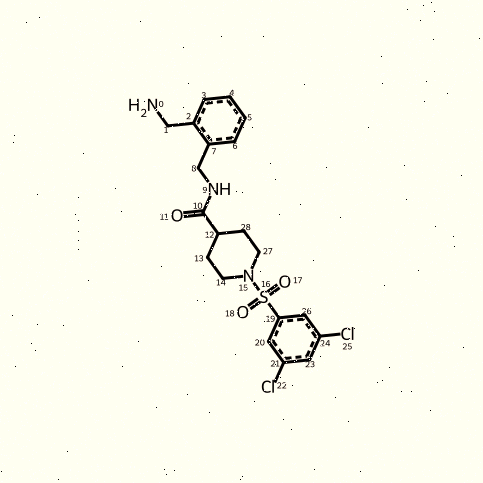 NCc1ccccc1CNC(=O)C1CCN(S(=O)(=O)c2cc(Cl)cc(Cl)c2)CC1